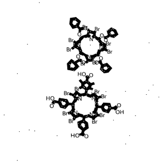 Cc1c(C)c(-c2c3nc(c(-c4ccc(C(=O)O)cc4)c4[nH]c(c(Br)c4Br)c(-c4ccc(C(=O)O)cc4)c4nc(c(-c5ccc(C(=O)O)cc5)c5[nH]c2c(Br)c5Br)C(Br)=C4Br)C(Br)=C3Br)c(C)c(C)c1C(=O)O.O=C(Oc1c2nc(c(OC(=O)c3ccccc3)c3[nH]c(c(Br)c3Br)c(OC(=O)c3ccccc3)c3nc(c(OC(=O)c4ccccc4)c4[nH]c1c(Br)c4Br)C(Br)=C3Br)C(Br)=C2Br)c1ccccc1